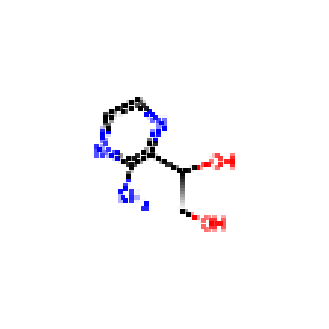 Nc1nccnc1C(O)CO